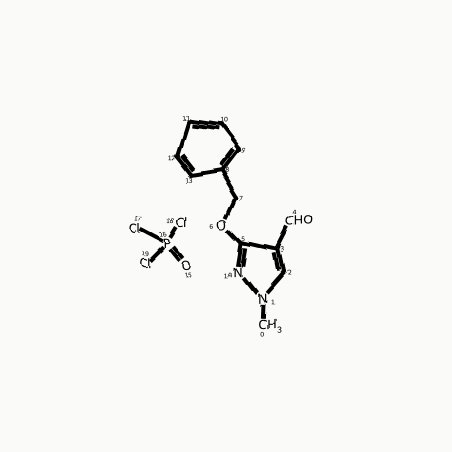 Cn1cc(C=O)c(OCc2ccccc2)n1.O=P(Cl)(Cl)Cl